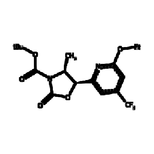 CCOc1cc(C(F)(F)F)cc([C@H]2OC(=O)N(C(=O)OC(C)(C)C)[C@H]2C)n1